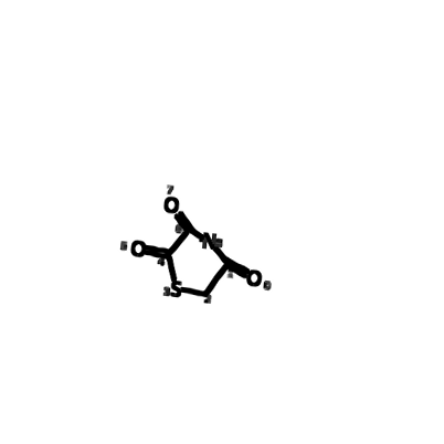 O=C1CSC(=O)C(=O)[N]1